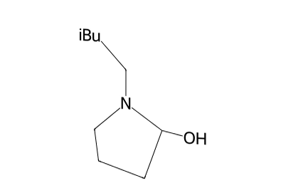 CCC(C)CN1CCCC1O